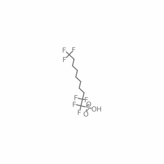 O=S(=O)(O)C(F)(F)C(F)(F)CCCCCCCC(F)(F)F